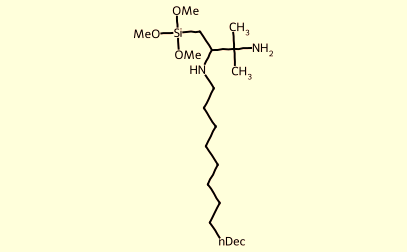 CCCCCCCCCCCCCCCCCCNC(C[Si](OC)(OC)OC)C(C)(C)N